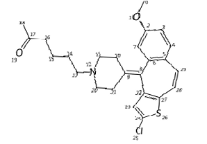 COc1ccc2c(c1)C(=C1CCN(CCCCC(C)=O)CC1)c1cc(Cl)sc1C=C2